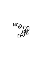 CCc1ccc(S(=O)(=O)N2CCOc3ccc(-c4ccc(C#N)o4)cc32)s1